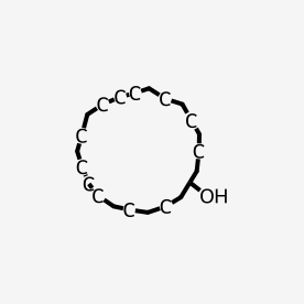 OC1CCCCCCCCCCCCCCCCCCCCC1